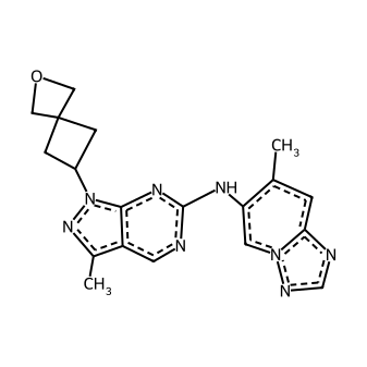 Cc1cc2ncnn2cc1Nc1ncc2c(C)nn(C3CC4(COC4)C3)c2n1